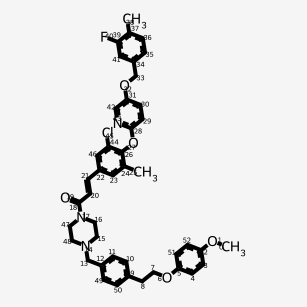 COc1ccc(OCCc2ccc(CN3CCN(C(=O)C=Cc4cc(C)c(Oc5ccc(OCc6ccc(C)c(F)c6)cn5)c(Cl)c4)CC3)cc2)cc1